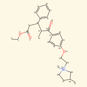 CCOC(=O)CC(c1ccccc1)C(C)C(=O)c1ccc(OCC[N+]2(C)CCC(C)C2)cc1